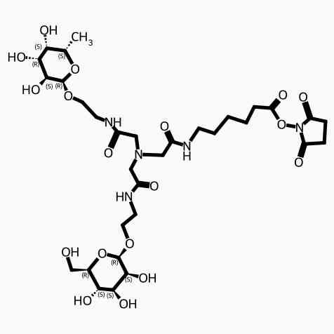 C[C@@H]1O[C@@H](OCCNC(=O)CN(CC(=O)NCCCCCC(=O)ON2C(=O)CCC2=O)CC(=O)NCCO[C@@H]2O[C@H](CO)[C@@H](O)[C@H](O)[C@@H]2O)[C@@H](O)[C@H](O)[C@@H]1O